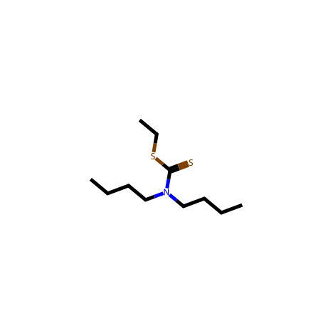 CCCCN(CCCC)C(=S)SCC